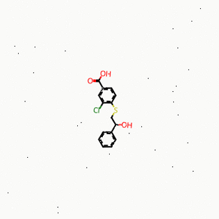 O=C(O)c1ccc(SCC(O)c2ccccc2)c(Cl)c1